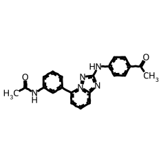 CC(=O)Nc1cccc(-c2cccc3nc(Nc4ccc(C(C)=O)cc4)nn23)c1